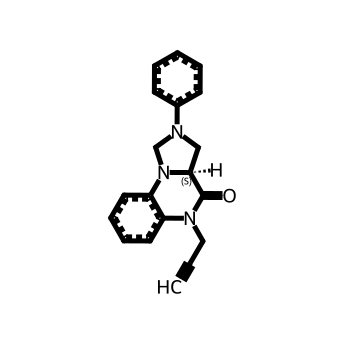 C#CCN1C(=O)[C@@H]2CN(c3ccccc3)CN2c2ccccc21